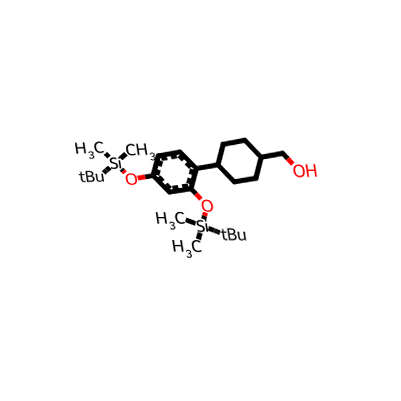 CC(C)(C)[Si](C)(C)Oc1ccc(C2CCC(CO)CC2)c(O[Si](C)(C)C(C)(C)C)c1